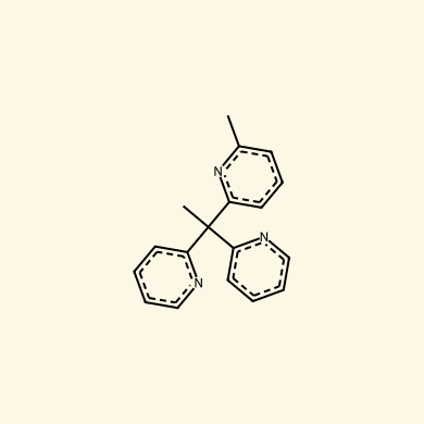 Cc1cccc(C(C)(c2ccccn2)c2ccccn2)n1